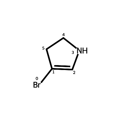 BrC1=CNCC1